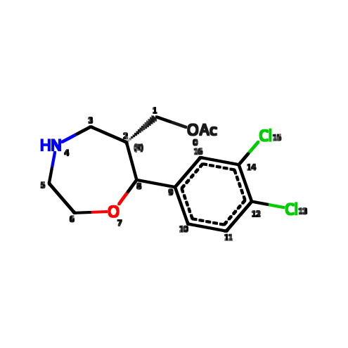 CC(=O)OC[C@H]1CNCCOC1c1ccc(Cl)c(Cl)c1